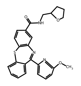 COc1cccc(C2=Nc3cc(C(=O)NCC4CCCO4)ccc3Sc3ccccc32)n1